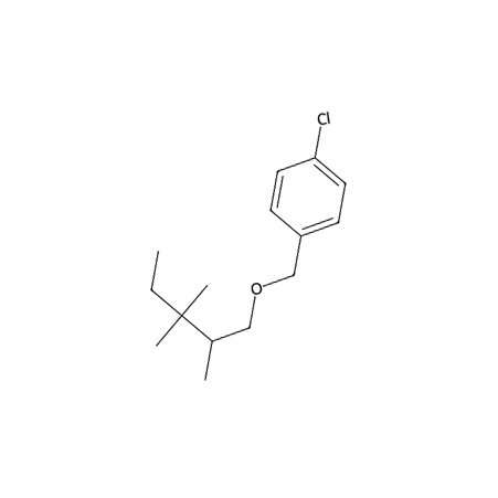 CCC(C)(C)C(C)COCc1ccc(Cl)cc1